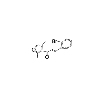 Cc1coc(C)c1C(=O)/C=C/c1ccccc1Br